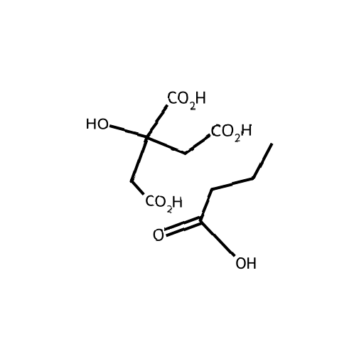 CCCC(=O)O.O=C(O)CC(O)(CC(=O)O)C(=O)O